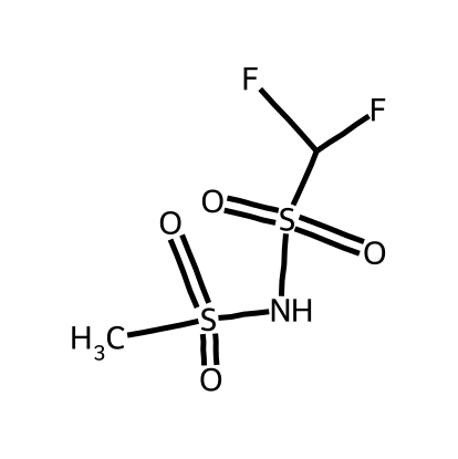 CS(=O)(=O)NS(=O)(=O)C(F)F